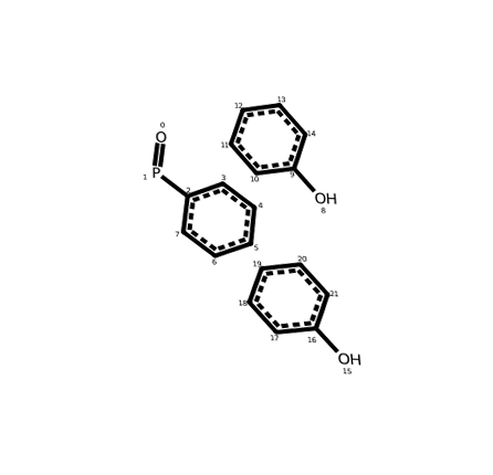 O=Pc1ccccc1.Oc1ccccc1.Oc1ccccc1